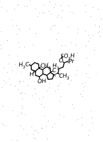 CC1CCC2(C)C3CCC4(C)C(CC[C@@H]4C(C)CCC(OS(=O)(=O)O)C(C)C)C3C(O)C[C@H]2C1